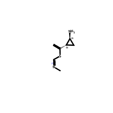 C=C(S/C=N\C)[C@H]1C[C@@H]1N